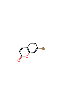 O=c1ccc2ccc(Br)cc2o1